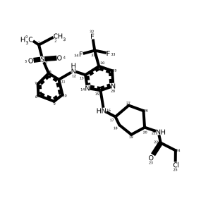 CC(C)S(=O)(=O)c1ccccc1Nc1nc(NC2CCC(NC(=O)CCl)CC2)ncc1C(F)(F)F